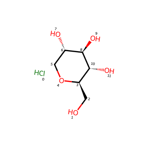 Cl.OC[C@H]1OC[C@H](O)[C@@H](O)[C@@H]1O